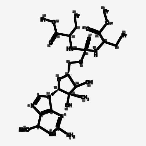 COC1NC(N)=Nc2c1ncn2[C@@H]1O[C@H](COP(=O)(NC(CC(C)C)C(=O)OC(C)C)NC(CC(C)C)C(=O)OC(C)C)C(O)[C@]1(C)O